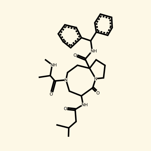 CNC(C)C(=O)N1CCC2(C(=O)NC(c3ccccc3)c3ccccc3)CCCN2C(=O)C(NC(=O)CC(C)C)C1